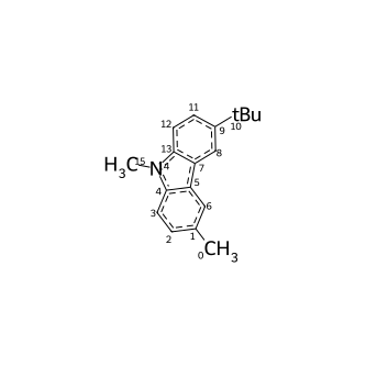 Cc1ccc2c(c1)c1cc(C(C)(C)C)ccc1n2C